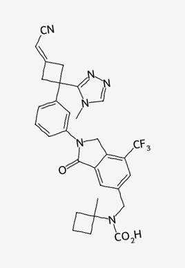 Cn1cnnc1C1(c2cccc(N3Cc4c(cc(CN(C(=O)O)C5(C)CCC5)cc4C(F)(F)F)C3=O)c2)CC(=CC#N)C1